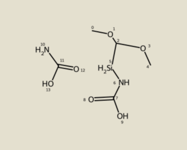 COC(OC)[SiH2]NC(=O)O.NC(=O)O